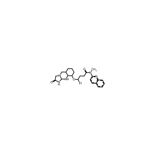 CCC(CCC(=O)N(C)c1ccc2ccccc2n1)OC1CCCC2CN3CC(=O)NC3NC21